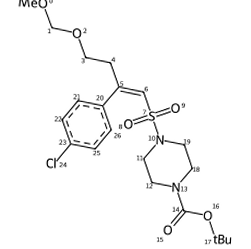 COCOCCC(=CS(=O)(=O)N1CCN(C(=O)OC(C)(C)C)CC1)c1ccc(Cl)cc1